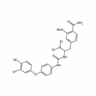 CCN(CC)C(Cc1ccc(C(N)=O)c(OC)c1)NC(=O)Nc1ccc(Oc2ccc(C#N)c(Cl)c2)cc1